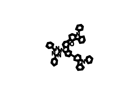 c1ccc(-c2nc(-c3ccccc3)nc(-n3c4ccc(-c5ccc6c(c5)c5ccccc5n6-c5ccccc5)cc4c4c5oc6c(ccc7c6c6ccccc6n7-c6ccccc6)c5ccc43)n2)cc1